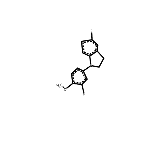 COc1ccc(B2CCc3cc(F)ccc32)cc1F